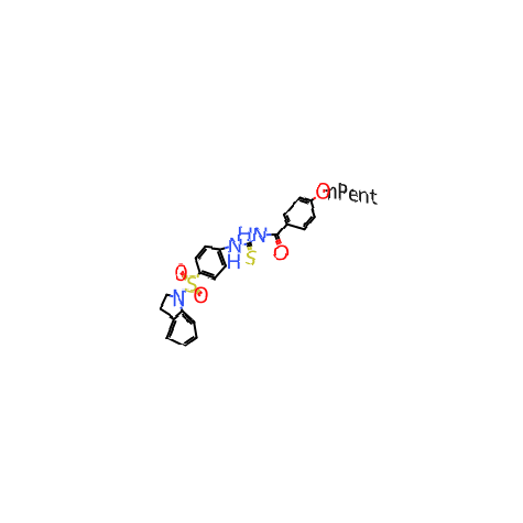 CCCCCOc1ccc(C(=O)NC(=S)Nc2ccc(S(=O)(=O)N3CCc4ccccc43)cc2)cc1